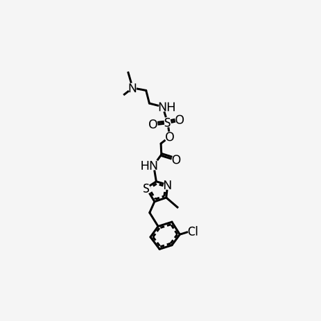 Cc1nc(NC(=O)COS(=O)(=O)NCCN(C)C)sc1Cc1cccc(Cl)c1